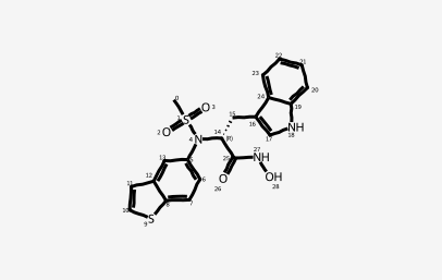 CS(=O)(=O)N(c1ccc2sccc2c1)[C@H](Cc1c[nH]c2ccccc12)C(=O)NO